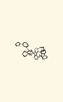 C1=CC2=c3c(n(-c4nc(-c5cccc(-c6ccccc6)c5)c5ccccc5n4)c4cccc(-n5c6ccccc6c6ccccc65)c34)=CCC2C=C1